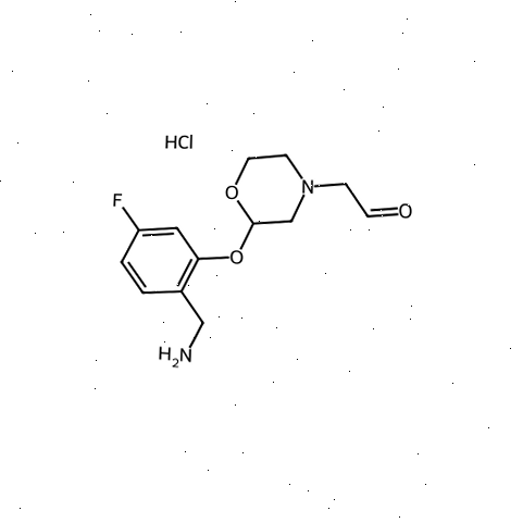 Cl.NCc1ccc(F)cc1OC1CN(CC=O)CCO1